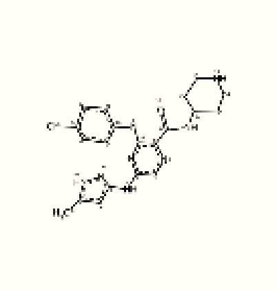 Cc1cc(Nc2cnc(C(=O)NC3CCNCC3)c(Nc3ccc(Cl)cc3)n2)n[nH]1